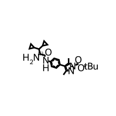 Cc1nn(C(=O)OC(C)(C)C)c(C)c1-c1ccc(NC(=O)[C@@H](N)C(C2CC2)C2CC2)cc1